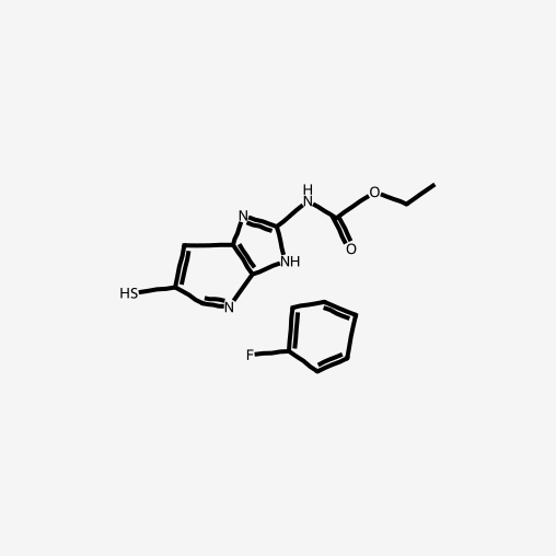 CCOC(=O)Nc1nc2cc(S)cnc2[nH]1.Fc1ccccc1